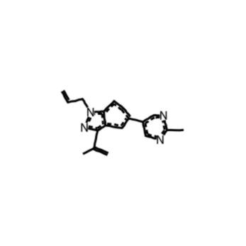 C=CCn1nc(C(=C)C)c2cc(-c3cnc(C)nc3)ccc21